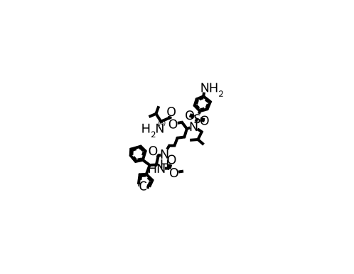 COC(=O)NC(C(=O)NCCCCC(COC(=O)[C@@H](N)C(C)C)N(CC(C)C)S(=O)(=O)c1ccc(N)cc1)C(c1ccccc1)c1ccccc1